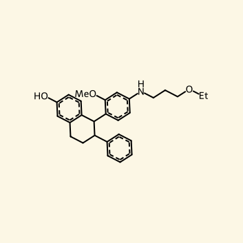 CCOCCCNc1ccc(C2c3ccc(O)cc3CCC2c2ccccc2)c(OC)c1